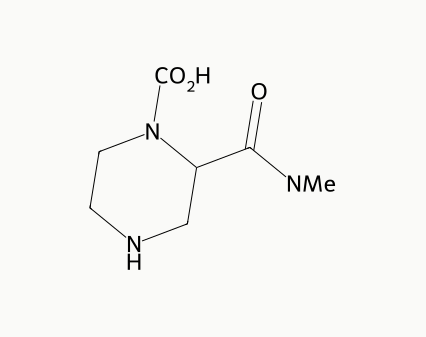 CNC(=O)C1CNCCN1C(=O)O